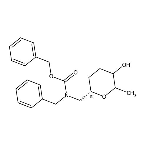 CC1O[C@H](CN(Cc2ccccc2)C(=O)OCc2ccccc2)CCC1O